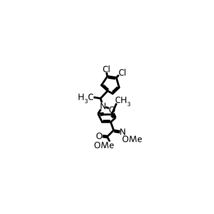 CON=C(C(=O)OC)c1cc2cc(C)c1ON2C(C)c1ccc(Cl)c(Cl)c1